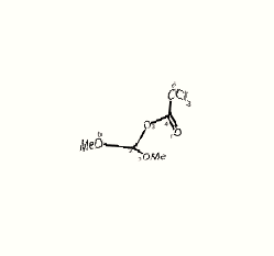 COC(OC)OC(=O)C(Cl)(Cl)Cl